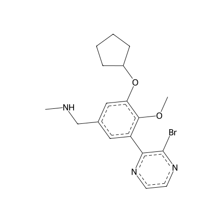 CNCc1cc(OC2CCCC2)c(OC)c(-c2nccnc2Br)c1